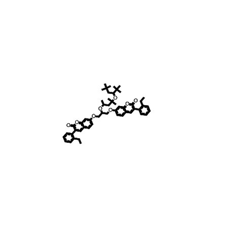 CCc1ccccc1-c1cc2ccc(OCC(COc3ccc4cc(-c5ccccc5CC)c(=O)oc4c3)OC(C)CC(C)(C)OC(CC(C)(C)C)C(C)(C)C)cc2oc1=O